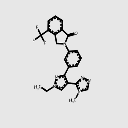 CCn1cc(-c2nncn2C)c(-c2cccc(N3Cc4c(cccc4C(F)(F)F)C3=O)c2)n1